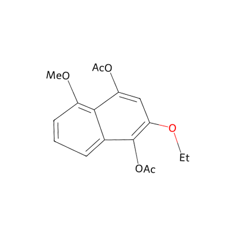 CCOc1cc(OC(C)=O)c2c(OC)cccc2c1OC(C)=O